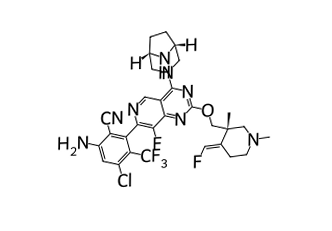 CN1CC/C(=C\F)[C@](C)(COc2nc(N3C[C@H]4CC[C@@H](C3)N4)c3cnc(-c4c(C#N)c(N)cc(Cl)c4C(F)(F)F)c(F)c3n2)C1